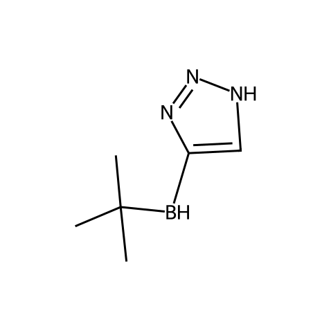 CC(C)(C)Bc1c[nH]nn1